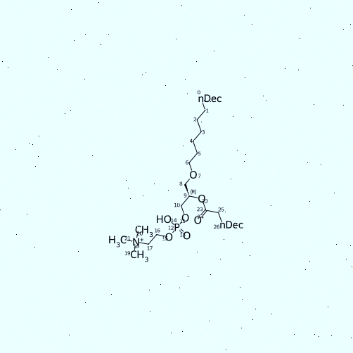 CCCCCCCCCCCCCCCCOC[C@H](COP(=O)(O)OCC[N+](C)(C)C)OC(=O)CCCCCCCCCCC